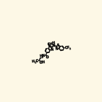 CC(O)CCNC(=O)c1ccc2c(c1)nc(Nc1nc3ccc(C(F)(F)F)cc3s1)n2C